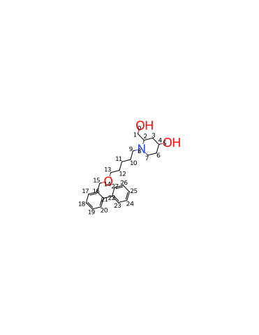 OCC1CC(O)CCN1CCCCCOCc1ccccc1-c1ccccc1